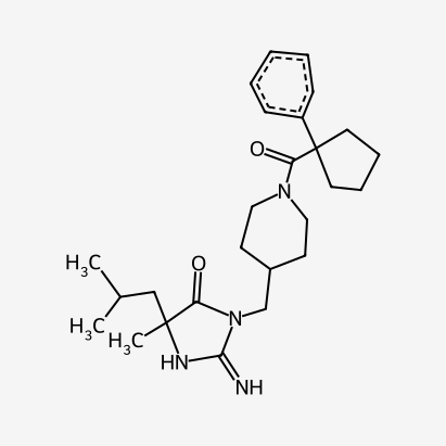 CC(C)CC1(C)NC(=N)N(CC2CCN(C(=O)C3(c4ccccc4)CCCC3)CC2)C1=O